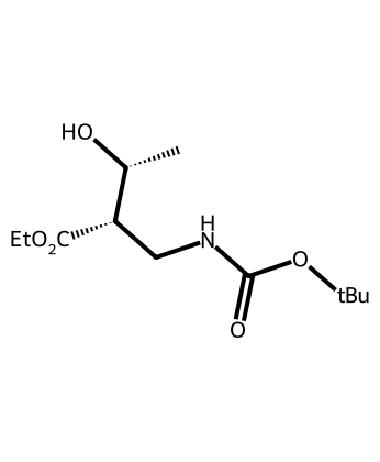 CCOC(=O)[C@@H](CNC(=O)OC(C)(C)C)[C@@H](C)O